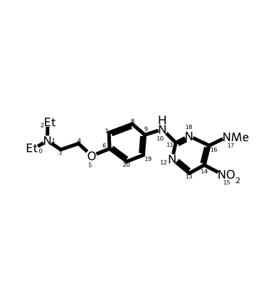 CCN(CC)CCOc1ccc(Nc2ncc([N+](=O)[O-])c(NC)n2)cc1